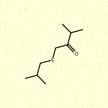 CC(C)CSCC(=O)C(C)C